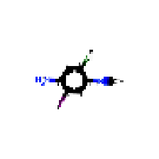 [C-]#[N+]c1cc(I)c(N)cc1Cl